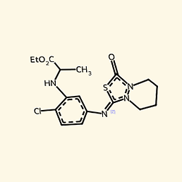 CCOC(=O)C(C)Nc1cc(/N=c2\sc(=O)n3n2CCCC3)ccc1Cl